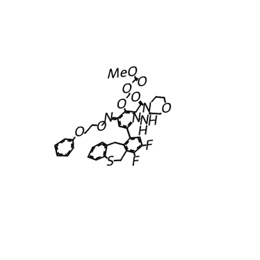 COC(=O)OCOc1c2n(c(-c3cc(F)c(F)c4c3Cc3ccccc3SC4)c/c1=N\OCCOc1ccccc1)N[C@@H]1COCCN1C2=O